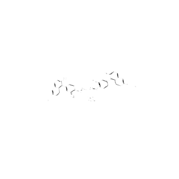 Nc1cc(-c2c(N)ccc3cc(S(=O)(=O)O)ccc23)ccc1/N=N/O/N=N/c1ccc(-c2c(N)ccc3cc(S(=O)(=O)O)ccc23)cc1N.[NaH].[NaH]